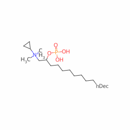 CCCCCCCCCCCCCCCCCCC(C[N+](C)(C)C1CC1)OP(=O)(O)O